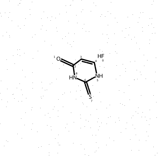 F.O=c1cc[nH]c(=S)[nH]1